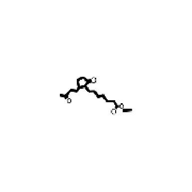 CCOC(=O)CCCCCCC1C(=O)CCC1C=CC(C)=O